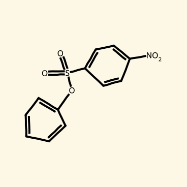 O=[N+]([O-])c1ccc(S(=O)(=O)Oc2ccccc2)cc1